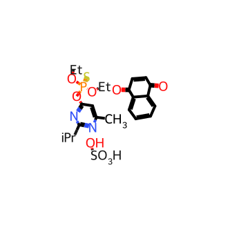 CCOP(=S)(OCC)Oc1cc(C)nc(C(C)C)n1.O=C1C=CC(=O)c2ccccc21.O=S(=O)(O)O